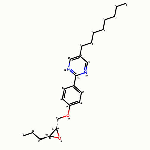 CCCCCCCCc1cnc(-c2ccc(OC[C@@H]3O[C@H]3CCC)cc2)nc1